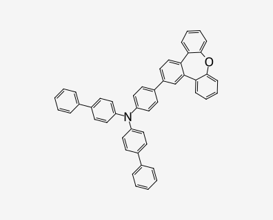 c1ccc(-c2ccc(N(c3ccc(-c4ccccc4)cc3)c3ccc(-c4ccc5c(c4)-c4ccccc4Oc4ccccc4-5)cc3)cc2)cc1